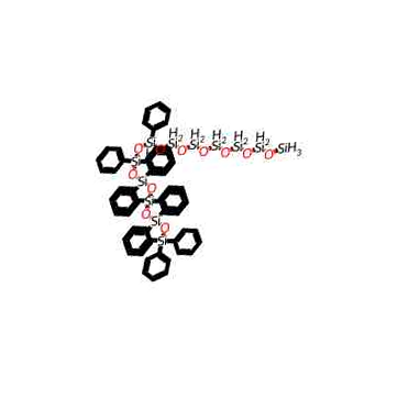 [SiH3]O[SiH2]O[SiH2]O[SiH2]O[SiH2]O[SiH2]O[SiH](O[Si](O[Si](O[Si](O[Si](O[Si](c1ccccc1)(c1ccccc1)c1ccccc1)(c1ccccc1)c1ccccc1)(c1ccccc1)c1ccccc1)(c1ccccc1)c1ccccc1)(c1ccccc1)c1ccccc1)c1ccccc1